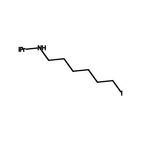 CC(C)NCCCCCCI